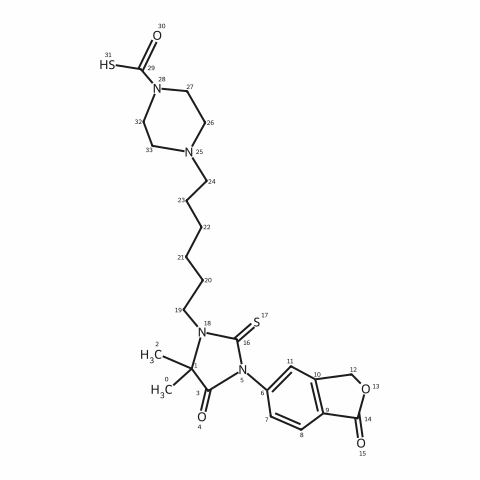 CC1(C)C(=O)N(c2ccc3c(c2)COC3=O)C(=S)N1CCCCCCN1CCN(C(=O)S)CC1